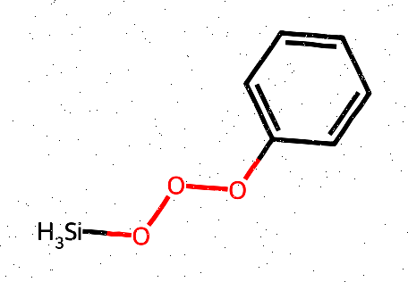 [SiH3]OOOc1ccccc1